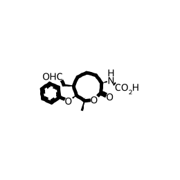 C[C@@H]1OC(=O)[C@@H](NC(=O)O)CCC[C@H](CC=O)[C@H]1Oc1ccccc1